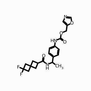 CC(NC(=O)C1CC2(C1)CC(F)(F)C2)c1ccc(NC(=O)OCc2cnco2)cc1